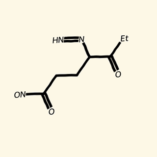 CCC(=O)C(CCC(=O)N=O)N=N